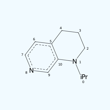 CC(C)N1CCCc2ccncc21